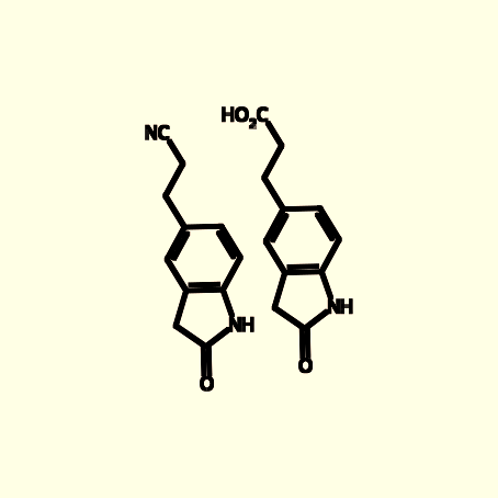 N#CCCc1ccc2c(c1)CC(=O)N2.O=C(O)CCc1ccc2c(c1)CC(=O)N2